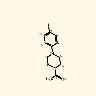 O=C(O)N1CCN(c2ccc(I)nn2)CC1